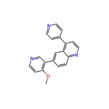 COc1ccncc1-c1ccc2nccc(-c3ccncc3)c2c1